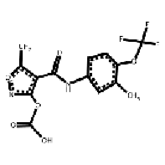 Cc1cc(NC(=O)c2c(OC(=O)O)noc2C)ccc1OC(F)(F)F